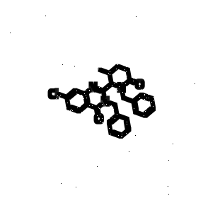 CC1CCC(=O)N(Cc2ccccc2)C1c1nc2cc(Cl)ccc2c(=O)n1Cc1ccccc1